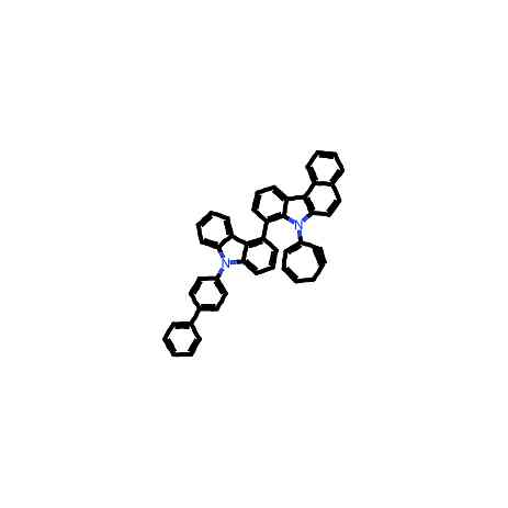 C1#CC(n2c3ccc4ccccc4c3c3cccc(-c4cccc5c4c4ccccc4n5-c4ccc(-c5ccccc5)cc4)c32)=CC=CC1